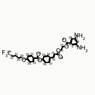 Nc1cc(N)cc(C(=O)OCCOC(=O)C=Cc2ccc(OC(=O)c3ccc(OCCCCC(F)(F)F)cc3)cc2)c1